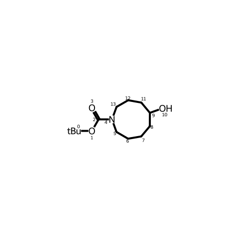 CC(C)(C)OC(=O)N1CCCCC(O)CCC1